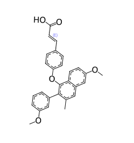 COc1cccc(-c2c(C)cc3cc(OC)ccc3c2Oc2ccc(/C=C/C(=O)O)cc2)c1